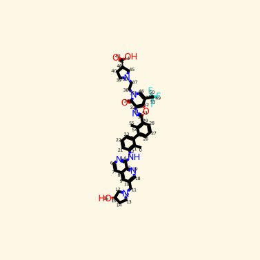 Cc1c(Nc2nccc3cc(CN4CC[C@@H](O)C4)cnc23)cccc1-c1cccc(-c2nc3c(=O)n(CCN4CC[C@@H](C(=O)O)C4)cc(C(F)(F)F)c3o2)c1C